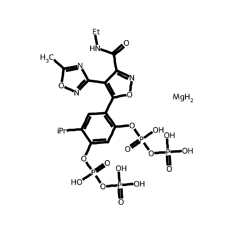 CCNC(=O)c1noc(-c2cc(C(C)C)c(OP(=O)(O)OP(=O)(O)O)cc2OP(=O)(O)OP(=O)(O)O)c1-c1noc(C)n1.[MgH2]